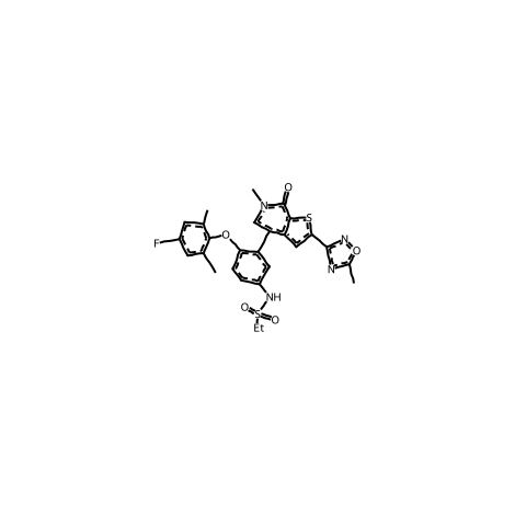 CCS(=O)(=O)Nc1ccc(Oc2c(C)cc(F)cc2C)c(-c2cn(C)c(=O)c3sc(-c4noc(C)n4)cc23)c1